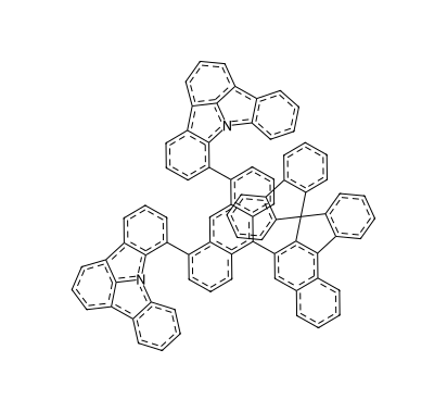 c1ccc2c(c1)-c1ccccc1C21c2ccccc2-c2c1c(-c1c3cccc(-c4cccc5c6cccc7c8ccccc8n(c45)c76)c3cc3c(-c4cccc5c6cccc7c8ccccc8n(c45)c76)cccc13)cc1ccccc21